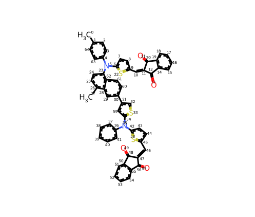 Cc1ccc(N(c2ccc(C=C3C(=O)c4ccccc4C3=O)s2)c2ccc(C)c3cc(-c4csc(N(c5ccccc5)c5ccc(C=C6C(=O)c7ccccc7C6=O)s5)c4)ccc23)cc1